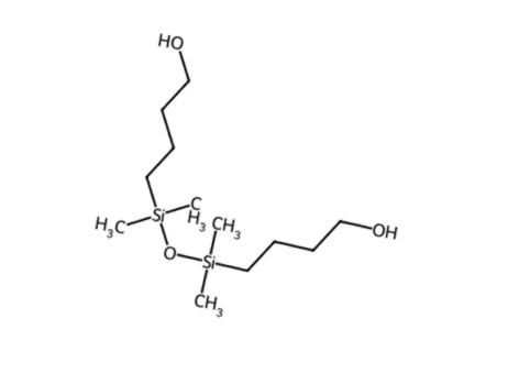 C[Si](C)(CCCCO)O[Si](C)(C)CCCCO